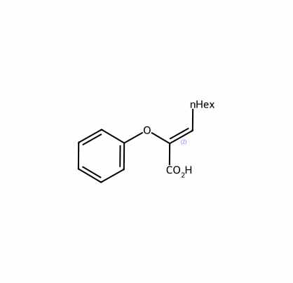 CCCCCC/C=C(\Oc1ccccc1)C(=O)O